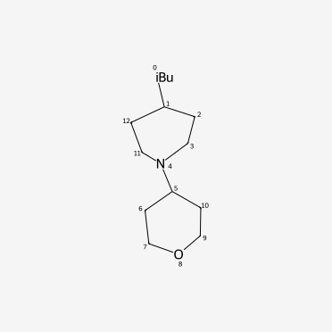 CCC(C)C1CCN(C2CCOCC2)CC1